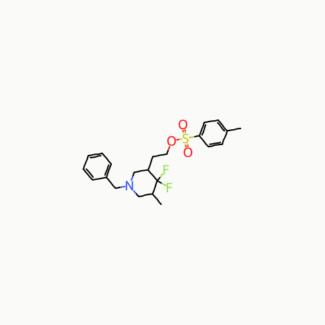 Cc1ccc(S(=O)(=O)OCCC2CN(Cc3ccccc3)CC(C)C2(F)F)cc1